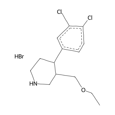 Br.CCOCC1CNCCC1c1ccc(Cl)c(Cl)c1